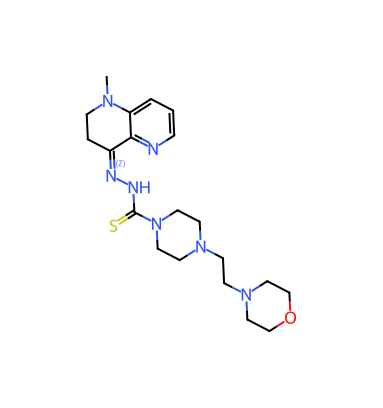 CN1CC/C(=N/NC(=S)N2CCN(CCN3CCOCC3)CC2)c2ncccc21